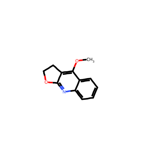 COc1c2c(nc3ccccc13)OCC2